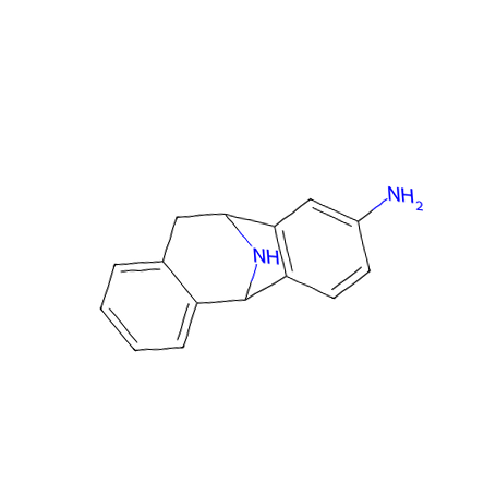 Nc1ccc2c(c1)C1Cc3ccccc3C2N1